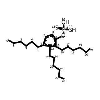 CCCCCCc1ccc(OP(O)(=S)S)c(CCCCCC)c1CCCCCC